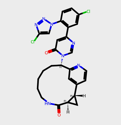 O=C1NCCCCC[C@H](n2cnc(-c3cc(Cl)ccc3-n3cc(Cl)nn3)cc2=O)c2cc(ccn2)[C@@H]2C[C@@H]12